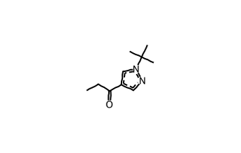 CCC(=O)c1cnn(C(C)(C)C)c1